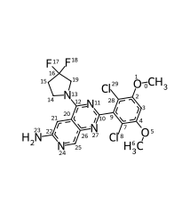 COc1cc(OC)c(Cl)c(-c2nc(N3CCC(F)(F)C3)c3cc(N)ncc3n2)c1Cl